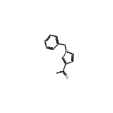 CC(=O)c1ccn(Cc2ccccc2)c1